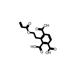 C=CC(=O)OCCc1c(C(=O)O)ccc(C(=O)O)c1C(=O)O